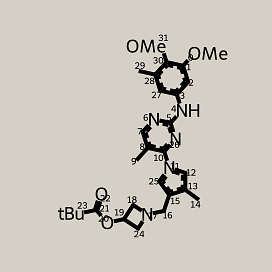 COc1cc(Nc2ncc(C)c(-n3cc(C)c(CN4CC(OC(=O)C(C)(C)C)C4)c3)n2)cc(C)c1OC